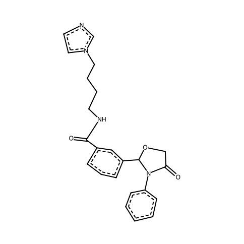 O=C(NCCCCn1ccnc1)c1cccc(C2OCC(=O)N2c2ccccc2)c1